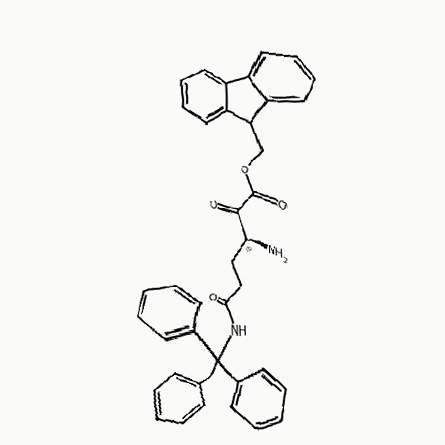 N[C@@H](CCC(=O)NC(c1ccccc1)(c1ccccc1)c1ccccc1)C(=O)C(=O)OCC1c2ccccc2-c2ccccc21